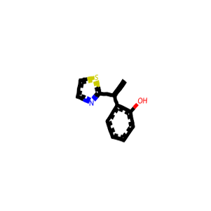 C=C(c1nccs1)c1ccccc1O